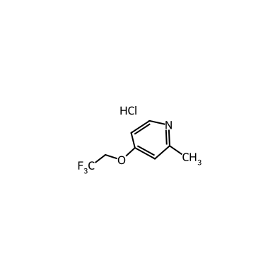 Cc1cc(OCC(F)(F)F)ccn1.Cl